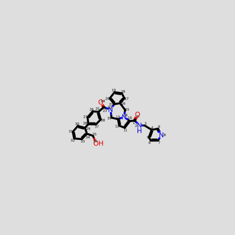 O=C(NCc1cccnc1)c1ccc2n1Cc1ccccc1N(C(=O)c1ccc(-c3ccccc3CO)cc1)C2